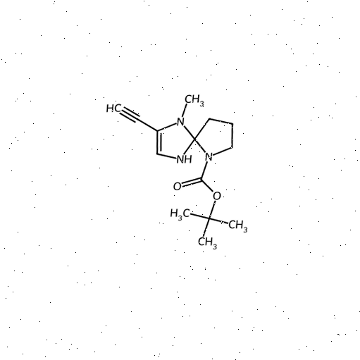 C#CC1=CNC2(CCCN2C(=O)OC(C)(C)C)N1C